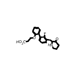 O=C(O)CCOc1ccccc1-c1cccc(CC2NCCCC2=O)c1F